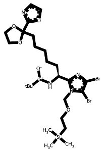 CC(C)(C)[S+]([O-])N[C@@H](CCCCCC1(c2ncco2)OCCO1)c1nc(Br)c(Br)n1COCC[Si](C)(C)C